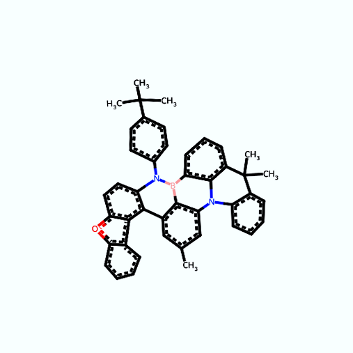 Cc1cc2c3c(c1)N1c4ccccc4C(C)(C)c4cccc(c41)B3N(c1ccc(C(C)(C)C)cc1)c1ccc3oc4ccccc4c3c1-2